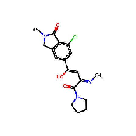 C/N=C(\C=C(/O)c1cc(Cl)c2c(c1)CN(C(C)C)C2=O)C(=O)N1CCCC1